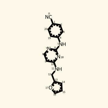 N#Cc1ccc(Nc2nccc(NCc3ccco3)n2)cc1